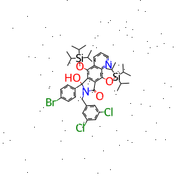 CC(C)[Si](Oc1c2c(c(O[Si](C(C)C)(C(C)C)C(C)C)c3ncccc13)C(=O)N(Cc1cc(Cl)cc(Cl)c1)C2(O)c1ccc(Br)cc1)(C(C)C)C(C)C